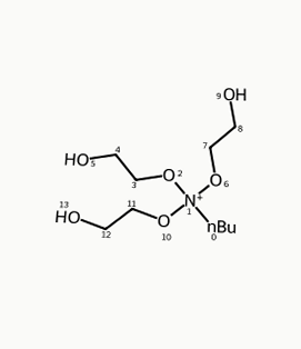 CCCC[N+](OCCO)(OCCO)OCCO